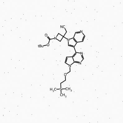 CC(C)(C)OC(=O)N1CC(CC#N)(n2cc(-c3ncnc4c3ccn4COCC[Si](C)(C)C)c3ccncc32)C1